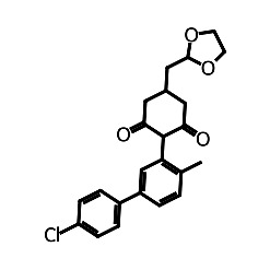 Cc1ccc(-c2ccc(Cl)cc2)cc1C1C(=O)CC(CC2OCCO2)CC1=O